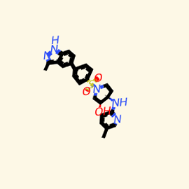 Cc1ccc(N[C@@H]2CCN(S(=O)(=O)c3ccc(-c4ccc5[nH]nc(C)c5c4)cc3)C[C@@H]2O)nc1